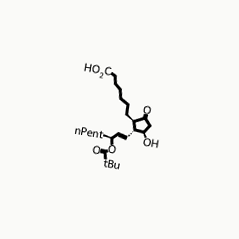 CCCCC[C@@H](/C=C/[C@H]1[C@H](O)CC(=O)[C@@H]1CCCCCCC(=O)O)OC(=O)C(C)(C)C